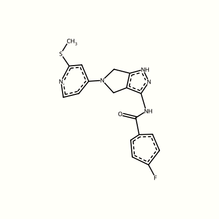 CSc1cc(N2Cc3[nH]nc(NC(=O)c4ccc(F)cc4)c3C2)ccn1